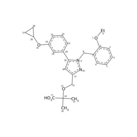 CCOc1ccccc1Cn1nc(COC(C)(C)C(=O)O)cc1-c1cccc(OC2CC2)c1